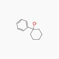 [O]C1(c2ccccc2)CCCCC1